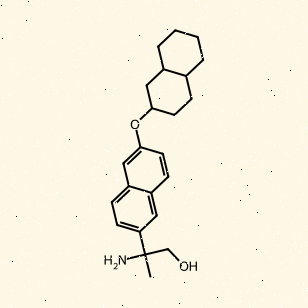 CC(N)(CO)c1ccc2cc(OC3CCC4CCCCC4C3)ccc2c1